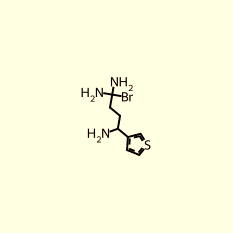 NC(CCC(N)(N)Br)c1ccsc1